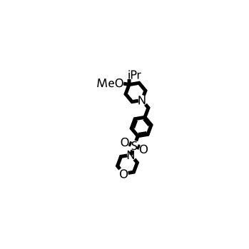 COC1(C(C)C)CCN(Cc2ccc(S(=O)(=O)N3CCOCC3)cc2)CC1